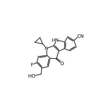 N#Cc1ccc2c(c1)[nH]c1c2c(=O)c2cc(CO)c(F)cc2n1C1CC1